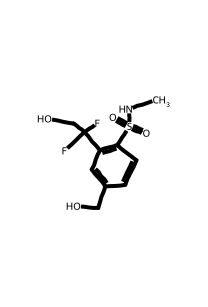 CNS(=O)(=O)c1ccc(CO)cc1C(F)(F)CO